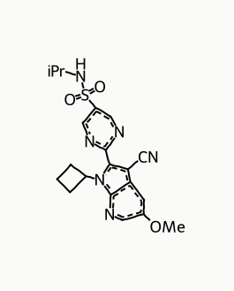 COc1cnc2c(c1)c(C#N)c(-c1ncc(S(=O)(=O)NC(C)C)cn1)n2C1CCC1